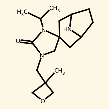 CC(C)N1C(=O)N(CC2(C)COC2)CC12CC1CCC(C2)N1